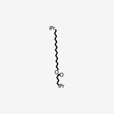 CC(C)CCCCCCCCCCCCCCCOC(=O)CCCC(C)C